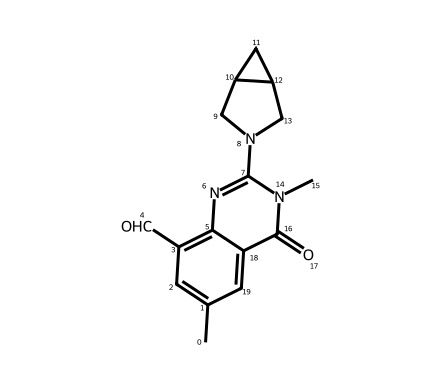 Cc1cc(C=O)c2nc(N3CC4CC4C3)n(C)c(=O)c2c1